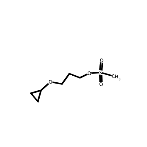 CS(=O)(=O)OCCCOC1CC1